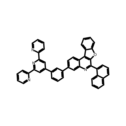 c1ccc(-c2cc(-c3cccc(-c4ccc5c(c4)nc(-c4cccc6ccccc46)c4oc6ccccc6c45)c3)cc(-c3ccccn3)n2)nc1